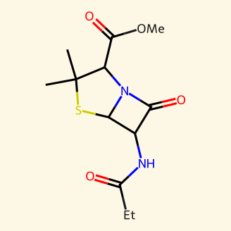 CCC(=O)NC1C(=O)N2C1SC(C)(C)C2C(=O)OC